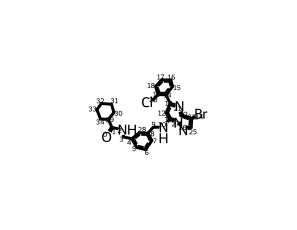 O=C(NCc1cccc(CNc2cc(-c3ccccc3Cl)nc3c(Br)cnn23)c1)C1CCCCC1